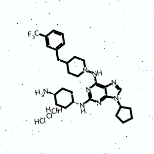 Cl.Cl.Cl.N[C@H]1CC[C@H](Nc2nc(NN3CCC(Cc4cccc(C(F)(F)F)c4)CC3)c3ncn(C4CCCC4)c3n2)CC1